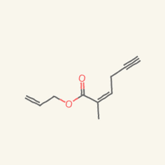 C#CCC=C(C)C(=O)OCC=C